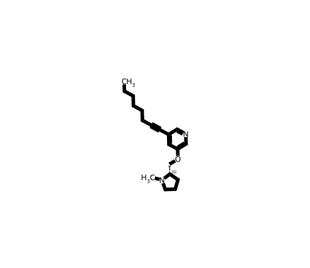 CCCCCCC#Cc1cncc(OC[C@@H]2CCCN2C)c1